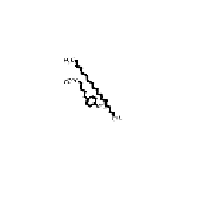 CCCCCCCCCCCCCCCCCCC.CCCCCCCCCCCCCCc1ccc(N)cc1